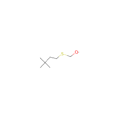 CC(C)(C)CCSC[O]